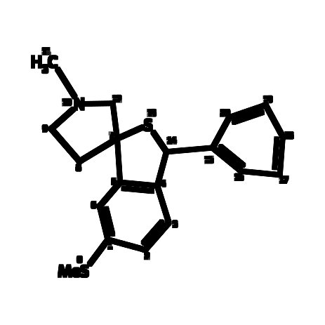 CSc1ccc2c(c1)C1(CCN(C)C1)SC2c1ccccc1